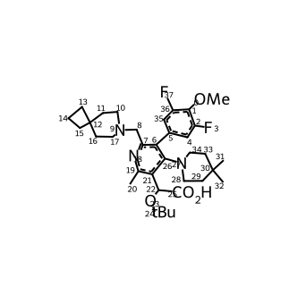 COc1c(F)cc(-c2c(CN3CCC4(CCC4)CC3)nc(C)c(C(OC(C)(C)C)C(=O)O)c2N2CCC(C)(C)CC2)cc1F